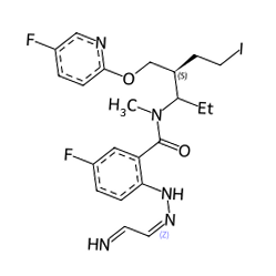 CCC([C@H](CCI)COc1ccc(F)cn1)N(C)C(=O)c1cc(F)ccc1N/N=C\C=N